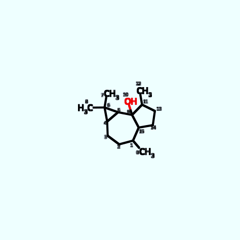 CC1CCC2C(C2(C)C)C2(O)C(C)CCC12